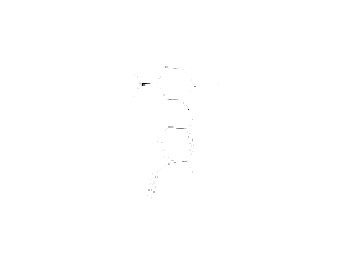 C=C(C)[C@H]1CC[C@H](C)[C@@H](Oc2ccc(C#N)c(Cl)c2)C1